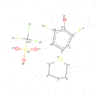 Fc1cc([S+]2CCCCC2)cc(F)c1Br.O=S(=O)([O-])C(F)(F)F